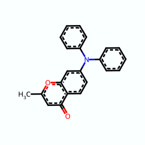 Cc1cc(=O)c2ccc(N(c3ccccc3)c3ccccc3)cc2o1